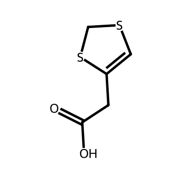 O=C(O)CC1=CSCS1